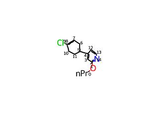 CCCOc1cc(C2CC=C(Cl)CC2)ccn1